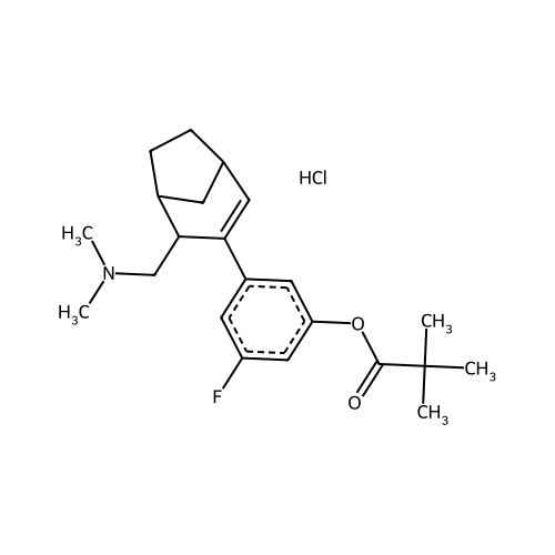 CN(C)CC1C(c2cc(F)cc(OC(=O)C(C)(C)C)c2)=CC2CCC1C2.Cl